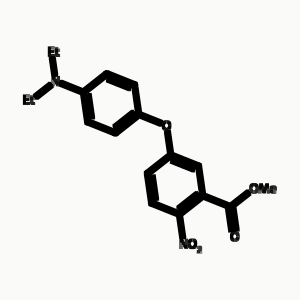 CCN(CC)c1ccc(Oc2ccc([N+](=O)[O-])c(C(=O)OC)c2)cc1